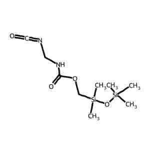 C[Si](C)(C)O[Si](C)(C)COC(=O)NCN=C=O